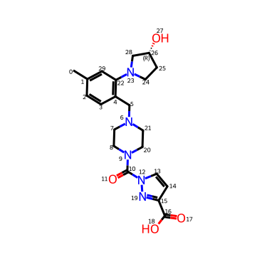 Cc1ccc(CN2CCN(C(=O)n3ccc(C(=O)O)n3)CC2)c(N2CC[C@@H](O)C2)c1